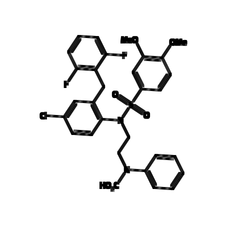 COc1ccc(S(=O)(=O)N(CCN(C(=O)O)c2ccccc2)c2ccc(Cl)cc2Cc2c(F)cccc2F)cc1OC